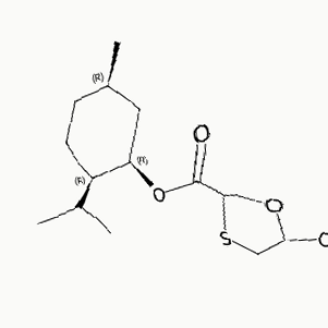 CC(C)[C@H]1CC[C@@H](C)C[C@H]1OC(=O)C1OC(O)CS1